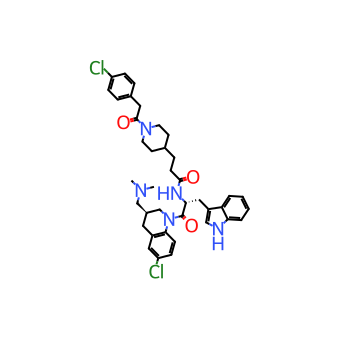 CN(C)C[C@@H]1Cc2cc(Cl)ccc2N(C(=O)[C@@H](Cc2c[nH]c3ccccc23)NC(=O)CCC2CCN(C(=O)Cc3ccc(Cl)cc3)CC2)C1